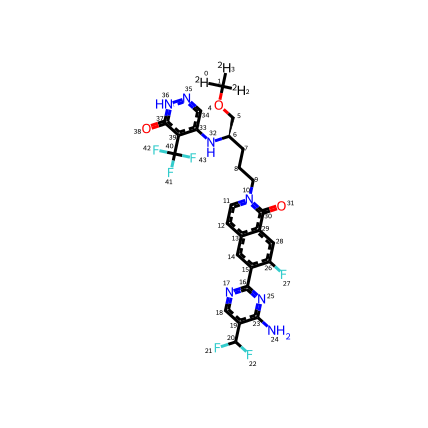 [2H]C([2H])([2H])OC[C@@H](CCCn1ccc2cc(-c3ncc(C(F)F)c(N)n3)c(F)cc2c1=O)Nc1cn[nH]c(=O)c1C(F)(F)F